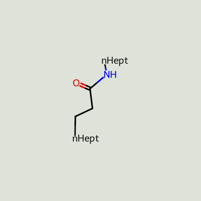 CCCCCCCCCC(=O)NCCCCCCC